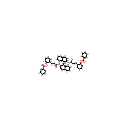 O=C(/C=C/c1ccccc1OC(=O)c1ccccc1)Oc1ccc2ccccc2c1-c1c(OC(=O)/C=C/c2ccccc2OC(=O)c2ccccc2)ccc2ccccc12